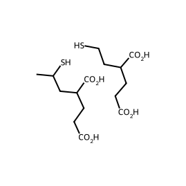 CC(S)CC(CCC(=O)O)C(=O)O.O=C(O)CCC(CCS)C(=O)O